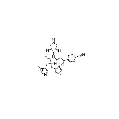 Cn1cncc1CC1(Cc2cncn2C)N/C(=C\C(=O)c2ccc(C#N)cc2)N([C@H]2[C@@H]3CNC[C@@H]32)C1=O